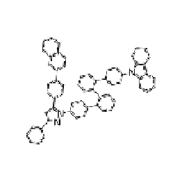 c1ccc(-c2cc(-c3ccc(-c4ccc5ccccc5c4)cc3)n(-c3ccc(-c4ccccc4-c4ccccc4-c4ccc(-n5c6ccccc6c6ccccc65)cc4)cc3)n2)cc1